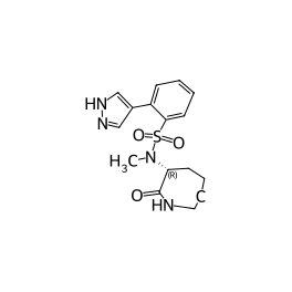 CN([C@@H]1CCCCNC1=O)S(=O)(=O)c1ccccc1-c1cn[nH]c1